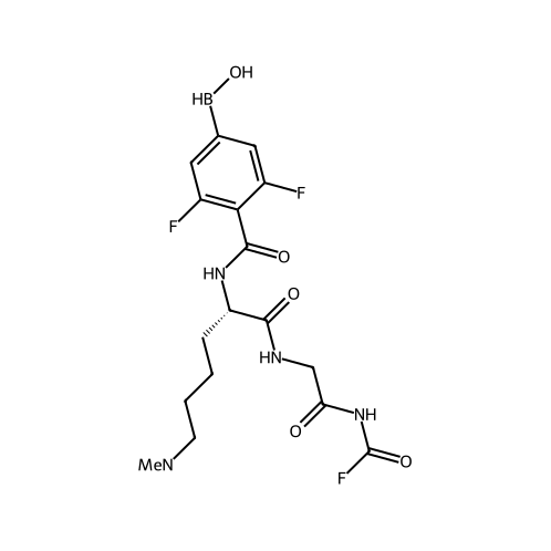 CNCCCC[C@H](NC(=O)c1c(F)cc(BO)cc1F)C(=O)NCC(=O)NC(=O)F